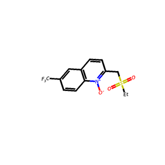 CCS(=O)(=O)Cc1ccc2cc(C(F)(F)F)ccc2[n+]1[O-]